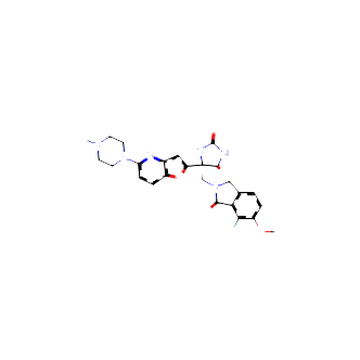 CCOc1ccc2c(c1F)C(=O)N(C[C@@]1(c3cc4nc(N5CCN(CC)CC5)ccc4o3)NC(=O)NC1=O)C2